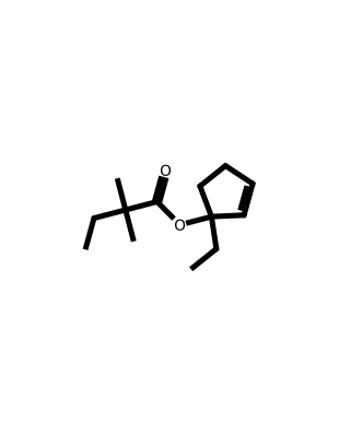 CCC1(OC(=O)C(C)(C)CC)C=CCC1